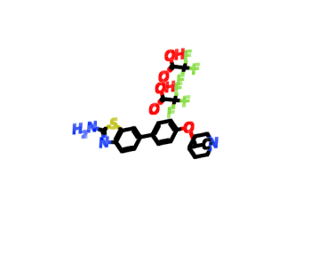 Nc1nc2ccc(-c3ccc(OC4CN5CCC4CC5)cc3)cc2s1.O=C(O)C(F)(F)F.O=C(O)C(F)(F)F